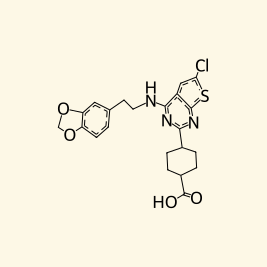 O=C(O)C1CCC(c2nc(NCCc3ccc4c(c3)OCO4)c3cc(Cl)sc3n2)CC1